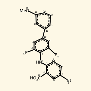 CCc1cnc(Nc2c(F)cc(-c3cccc(OC)c3)cc2F)c(C(=O)O)c1